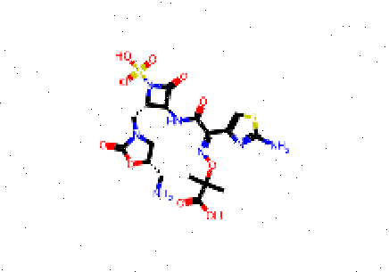 CC(C)(ON=C(C(=O)N[C@@H]1C(=O)N(S(=O)(=O)O)[C@H]1CN1C[C@H](CN)OC1=O)c1csc(N)n1)C(=O)O